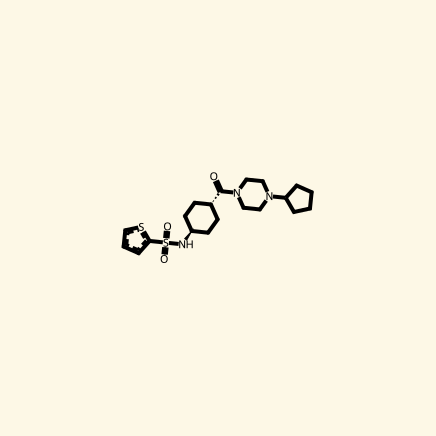 O=C([C@H]1CC[C@H](NS(=O)(=O)c2cccs2)CC1)N1CCN(C2CCCC2)CC1